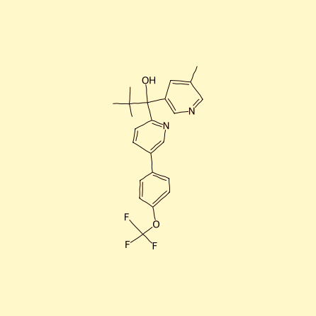 Cc1cncc(C(O)(c2ccc(-c3ccc(OC(F)(F)F)cc3)cn2)C(C)(C)C)c1